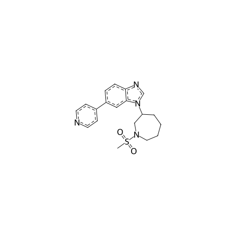 CS(=O)(=O)N1CCCCC(n2cnc3ccc(-c4ccncc4)cc32)C1